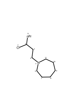 CCCC(Cl)CCN1CCCCCC1